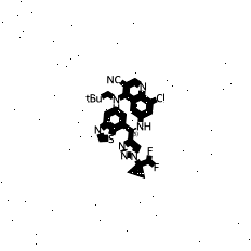 CC(C)(C)CNc1c(C#N)cnc2c(Cl)cc(N[C@H](c3cn(C4(C(F)F)CC4)nn3)c3cccc4ncsc34)cc12